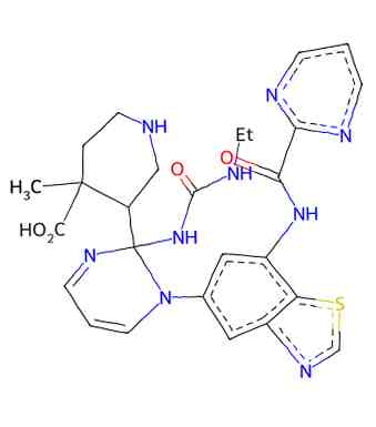 CCNC(=O)NC1(C2CNCCC2(C)C(=O)O)N=CC=CN1c1cc(NC(=O)c2ncccn2)c2scnc2c1